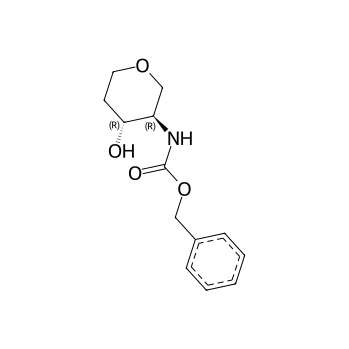 O=C(N[C@@H]1COCC[C@H]1O)OCc1ccccc1